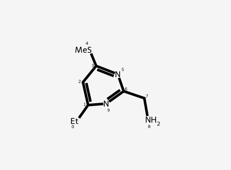 CCc1cc(SC)nc(CN)n1